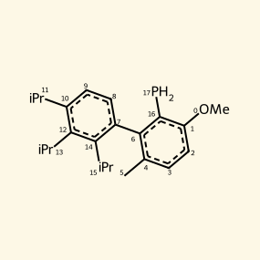 COc1ccc(C)c(-c2ccc(C(C)C)c(C(C)C)c2C(C)C)c1P